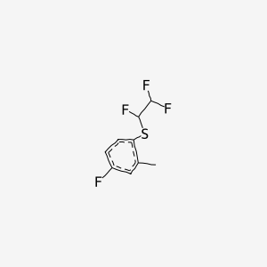 Cc1cc(F)ccc1SC(F)C(F)F